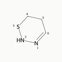 C1=NNSCC1